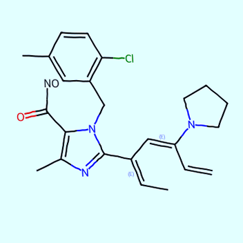 C=C/C(=C\C(=C/C)c1nc(C)c(C(=O)N=O)n1Cc1cc(C)ccc1Cl)N1CCCC1